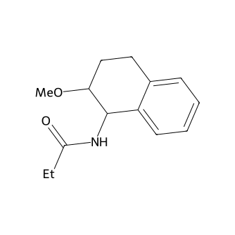 CCC(=O)NC1c2ccccc2CCC1OC